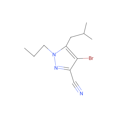 CCCn1nc(C#N)c(Br)c1CC(C)C